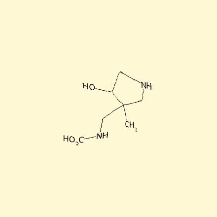 CC1(CNC(=O)O)CNCC1O